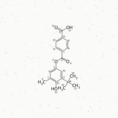 Cc1cc(OC(=O)c2ccc(C(=O)O)cc2)cc(C(C)(C)C)c1O